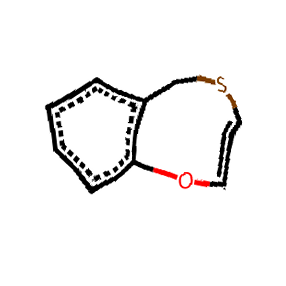 [C]1=CSCc2ccccc2O1